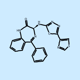 O=C1Nc2ccccc2C(c2ccccc2)=N[C@@H]1Nc1nnc(-c2cscn2)o1